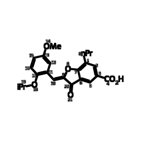 CCCc1cc(C(=O)O)cc2c1OC(=Cc1cc(OC)ccc1OC(C)C)C2=O